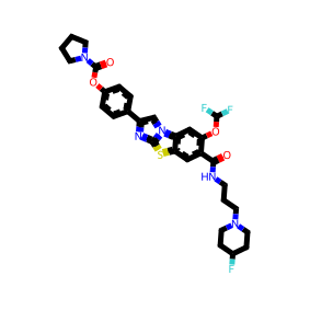 O=C(NCCCN1CCC(F)CC1)c1cc2sc3nc(-c4ccc(OC(=O)N5CCCC5)cc4)cn3c2cc1OC(F)F